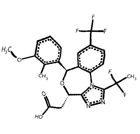 COc1cccc([C@@H]2O[C@@H](CC(=O)O)c3nnc(C(C)(F)F)n3-c3ccc(C(F)(F)F)cc32)c1C